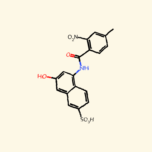 Cc1ccc(C(=O)Nc2cc(O)cc3cc(S(=O)(=O)O)ccc23)c([N+](=O)[O-])c1